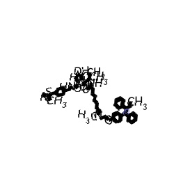 CC/C(=C(\C1=CC=C=C=C1)c1ccc(OCCN(C)CCCCCCCC(=O)N[C@H](C(=O)N2C[C@H](O)C[C@H]2C(=O)NCc2ccc(-c3scnc3C)cc2)C(C)(C)C)cc1)c1ccccc1